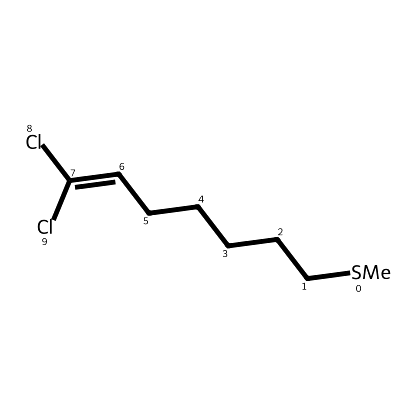 CSCCCCCC=C(Cl)Cl